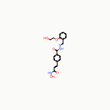 O=C(/C=C/c1ccc(C(=O)N/N=C/c2ccccc2OCCO)cc1)NO